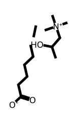 CC.CC(O)C[N+](C)(C)C.CCCCCC(=O)[O-]